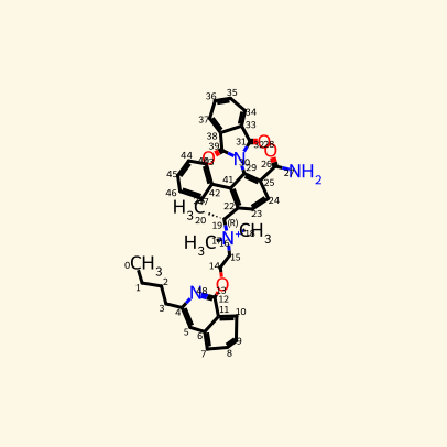 CCCCc1cc2ccccc2c(OCC[N+](C)(C)[C@H](CC)c2ccc(C(N)=O)c(N3C(=O)c4ccccc4C3=O)c2-c2ccccc2)n1